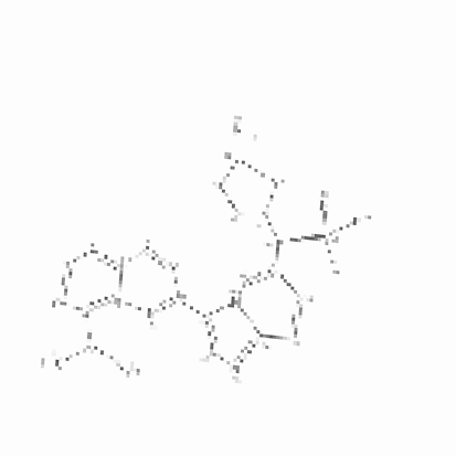 CC(C)c1cccc2ccc(-c3nnc4ccc([C@@H](N5CC[C@H](N)C5)C(F)(F)F)cn34)nc12